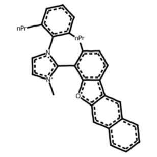 CCCc1cccc(CCC)c1-n1cc[n+](C)c1-c1c(C)ccc2c1oc1cc3ccccc3cc12